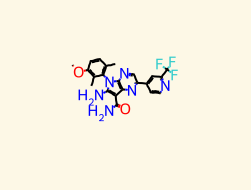 COc1ccc(C)c(-n2c(N)c(C(N)=O)c3nc(-c4ccnc(C(F)(F)F)c4)cnc32)c1C